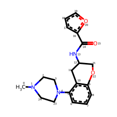 CN1CCN(c2cccc3c2CC(NC(=O)c2ccco2)CO3)CC1